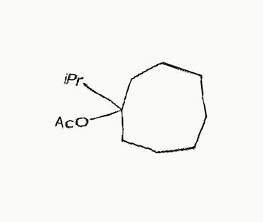 CC(=O)OC1(C(C)C)CCCCCCC1